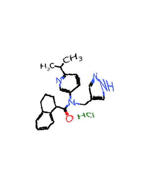 CC(C)c1ccc(N(Cc2cn[nH]c2)C(=O)C2CCCc3ccccc32)cn1.Cl